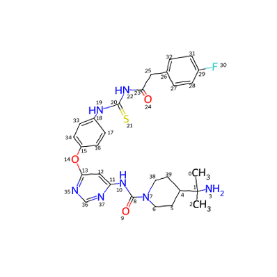 CC(C)(N)C1CCN(C(=O)Nc2cc(Oc3ccc(NC(=S)NC(=O)Cc4ccc(F)cc4)cc3)ncn2)CC1